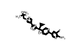 CC(C)(O)Cn1cc(-c2nc([C@](C)(c3ccc(-c4cnc(N)c(F)c4)nc3)C3CC3)no2)cn1